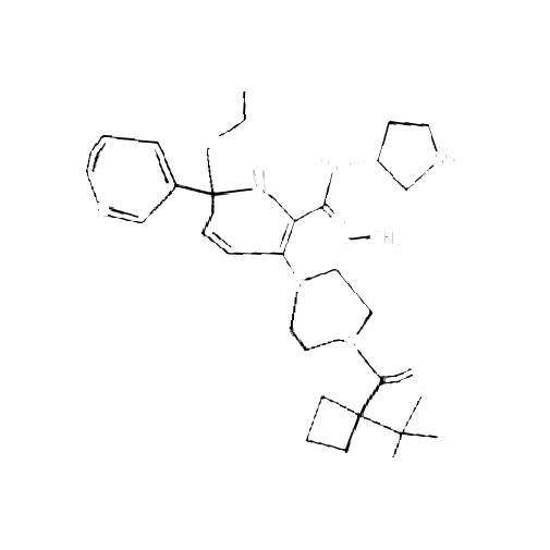 CCOC1(c2cccnc2)C=CC(N2CCN(C(=O)C3(C(F)(F)F)CCC3)C[C@H]2CC)=C(C(=O)N[C@@H]2CCNC2)N1